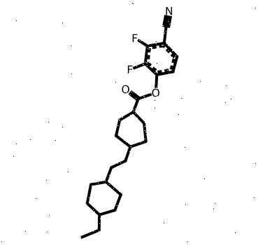 CCC1CCC(CCC2CCC(C(=O)Oc3ccc(C#N)c(F)c3F)CC2)CC1